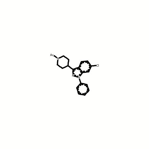 CC(=O)N1CCC(c2nn(-c3ccccc3)c3cc(Cl)ccc23)CC1